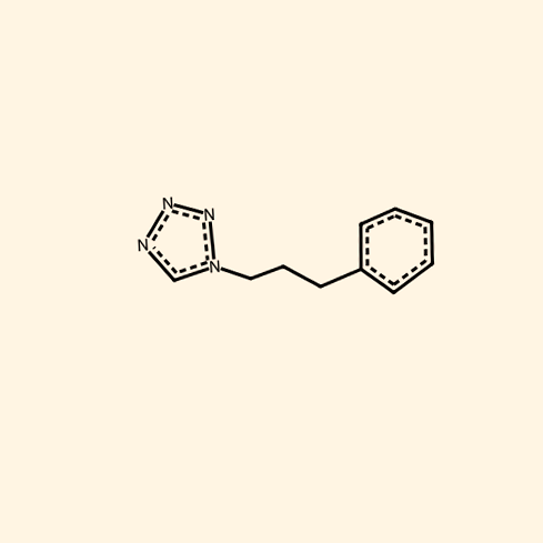 c1ccc(CCCn2cnnn2)cc1